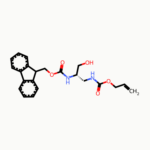 C=CCOC(=O)NC[C@@H](CO)NC(=O)OCC1c2ccccc2-c2ccccc21